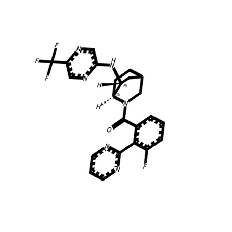 O=C(c1cccc(F)c1-c1ncccn1)N1CC2CC[C@H]1[C@H](Nc1cnc(C(F)(F)F)cn1)C2